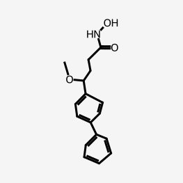 COC(CCC(=O)NO)c1ccc(-c2ccccc2)cc1